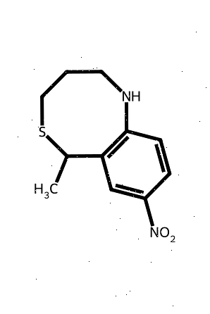 CC1SCCCNc2ccc([N+](=O)[O-])cc21